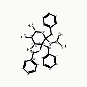 C[C@H]1OC(Cc2ccccc2)(OP(O)O)[C@](Cc2ccccc2)(OCc2ccccc2)[C@@H](O)[C@H]1O